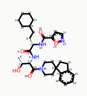 C[C@@H](O)[C@H](NC(=O)[C@H](CCC1CCCCC1)NC(=O)c1ccno1)C(=O)N1CCC2(CCc3ccccc32)CC1